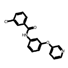 O=C(Nc1cccc(Oc2cccnc2)c1)c1cccc(Cl)c1